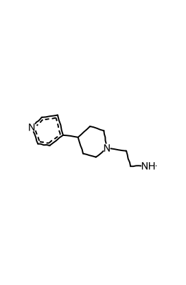 [NH]CCN1CCC(c2ccncc2)CC1